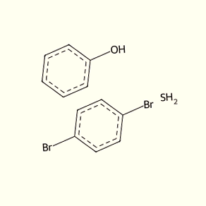 Brc1ccc(Br)cc1.Oc1ccccc1.S